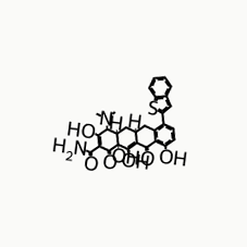 CN(C)[C@@H]1C(O)=C(C(N)=O)C(=O)[C@]2(O)C(O)=C3C(=O)c4c(O)ccc(-c5cc6ccccc6s5)c4C[C@@H]3C[C@H]12